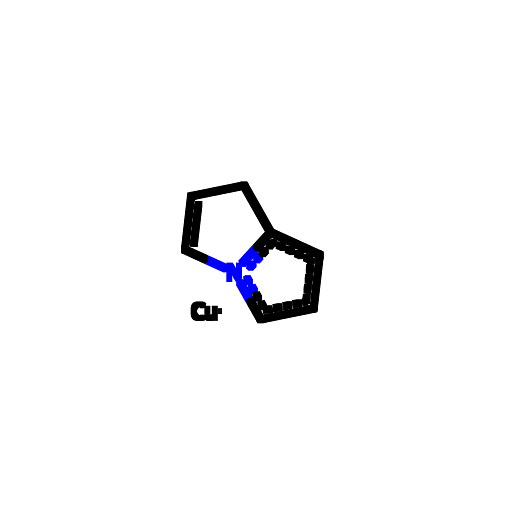 C1=Cn2cccc2C1.[Cu]